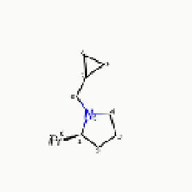 CC(C)[C@@H]1CCCN1CC1CC1